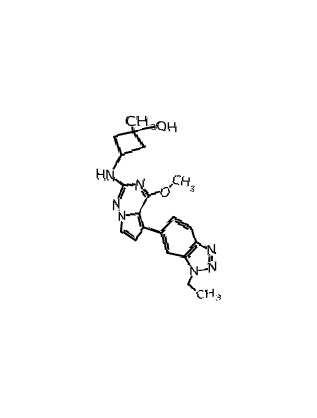 CCn1nnc2ccc(-c3ccn4nc(NC5CC(C)(O)C5)nc(OC)c34)cc21